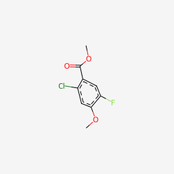 COC(=O)c1cc(F)c(OC)cc1Cl